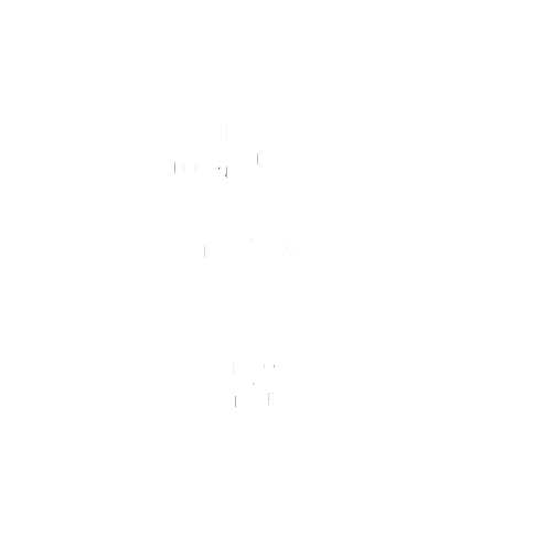 CN(CC[C@H](COc1ccccc1CCc1cccc(OC(F)(F)F)c1)OCF)C(F)F